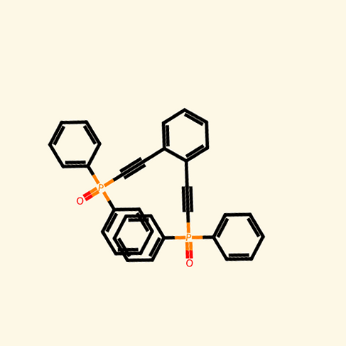 O=P(C#Cc1ccccc1C#CP(=O)(c1ccccc1)c1ccccc1)(c1ccccc1)c1ccccc1